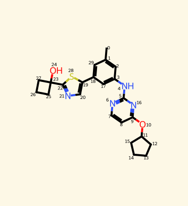 Cc1cc(Nc2nccc(OC3CCCC3)n2)cc(-c2cnc(C3(O)CCC3)s2)c1